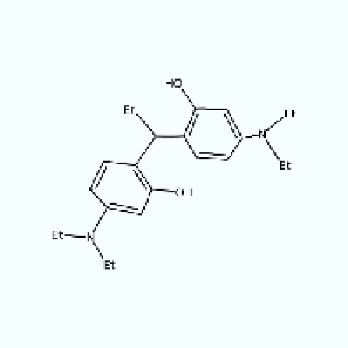 CCC(c1ccc(N(CC)CC)cc1O)c1ccc(N(CC)CC)cc1O